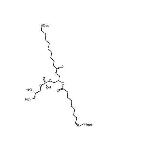 CCCCCCC/C=C\CCCCCCCC(=O)O[C@H](COC(=O)CCCCCCCCCCCCCCCCCCC)COP(=O)(O)OC[C@@H](O)CO